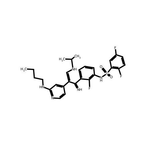 CCCCNc1cc(/C(=C/NC(C)C)C(=N)c2cccc(NS(=O)(=O)c3cc(F)ccc3F)c2F)ccn1